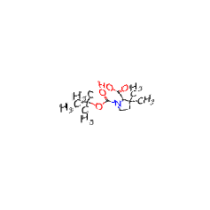 CC(C)(C)OC(=O)N1CCC(C)(C)[C@@H]1C(=O)O